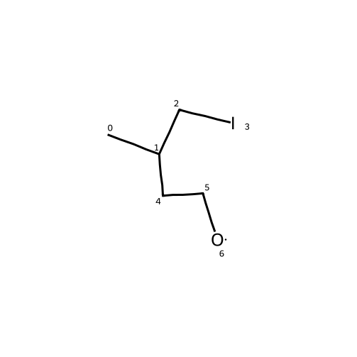 CC(CI)CC[O]